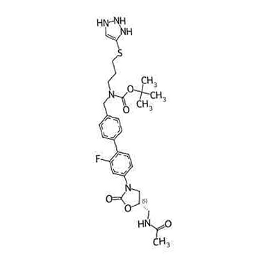 CC(=O)NC[C@H]1CN(c2ccc(-c3ccc(CN(CCCSC4=CNNN4)C(=O)OC(C)(C)C)cc3)c(F)c2)C(=O)O1